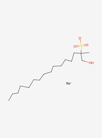 CCCCCCCCCCCCCCC(C)(CO)S(=O)(=O)[O-].[Na+]